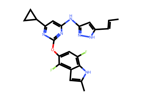 C/C=C/c1cc(Nc2cc(C3CC3)nc(Oc3cc(F)c4[nH]c(C)cc4c3F)n2)n[nH]1